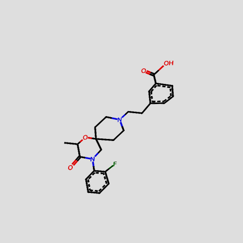 CC1OC2(CCN(CCc3cccc(C(=O)O)c3)CC2)CN(c2ccccc2F)C1=O